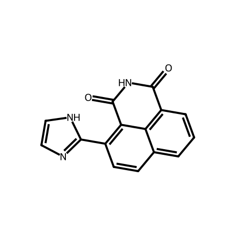 O=C1NC(=O)c2c(-c3ncc[nH]3)ccc3cccc1c23